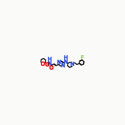 O=C(C=Cc1cnc(N[C@@H]2CCCN(CCc3cccc(F)c3)C2)cn1)NOC1CCCCO1